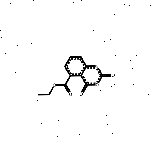 CCOC(=O)c1cccc2[nH]c(=O)oc(=O)c12